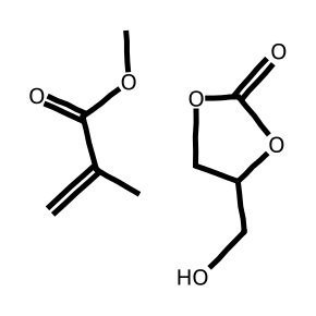 C=C(C)C(=O)OC.O=C1OCC(CO)O1